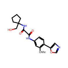 COc1cc(NC(=O)C(=O)NC2(CO)CCCC2)ccc1-c1cnco1